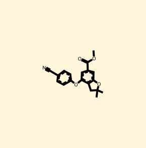 COC(=O)c1cc(Oc2ccc(C#N)cc2)c2c(c1)OC(C)(C)C2